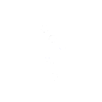 CN(CC(O)CNC(C)(C)CC1Cc2ccccc2C1)S(=O)(=O)c1ccc(-c2ccc(C(=O)O)c(Cl)c2)cc1